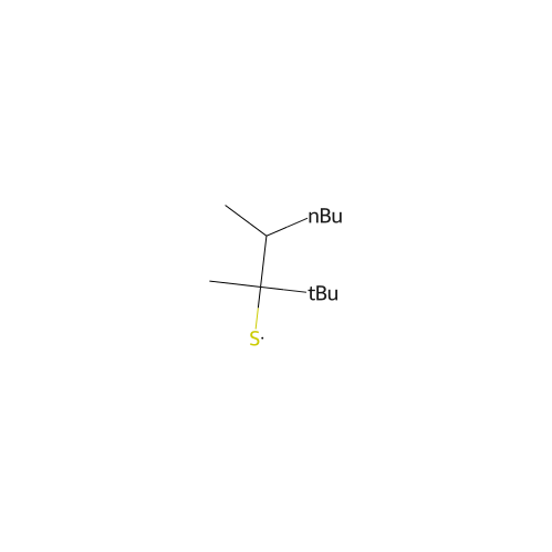 CCCCC(C)C(C)([S])C(C)(C)C